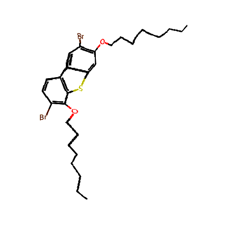 CCCCCCCCOc1cc2sc3c(OCCCCCCCC)c(Br)ccc3c2cc1Br